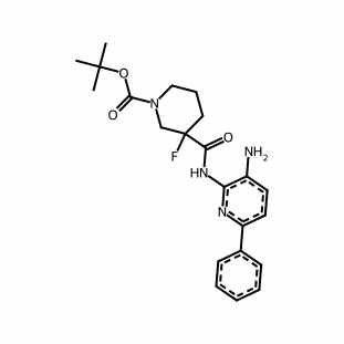 CC(C)(C)OC(=O)N1CCCC(F)(C(=O)Nc2nc(-c3ccccc3)ccc2N)C1